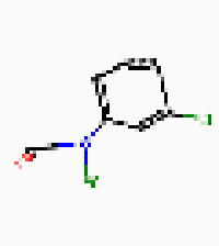 O=[C]N(Br)c1cccc(Cl)c1